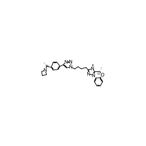 C[C@H](Oc1ccccc1)c1nnc(CCCCn2cc(-c3ccc([C@@H](C)N4CCC4)cc3)nn2)n1C